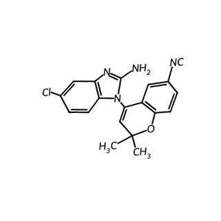 [C-]#[N+]c1ccc2c(c1)C(n1c(N)nc3cc(Cl)ccc31)=CC(C)(C)O2